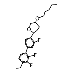 CCCCCOC1CCC(c2ccc(-c3ccc(CC)c(F)c3F)cc2F)OC1